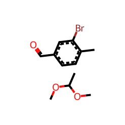 COC(C)OC.Cc1ccc(C=O)cc1Br